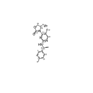 Cc1ccc([C@H](C)Nc2ncc(F)c(N3C(=O)OC[C@@H]3C(C)C)n2)cc1